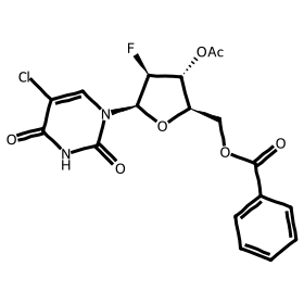 CC(=O)O[C@H]1[C@H](F)[C@H](n2cc(Cl)c(=O)[nH]c2=O)O[C@@H]1COC(=O)c1ccccc1